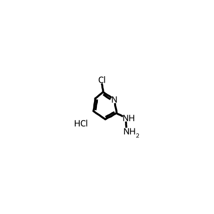 Cl.NNc1cccc(Cl)n1